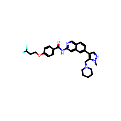 Cn1ncc(-c2ccc3cnc(NC(=O)c4ccc(OCCC(F)F)cc4)cc3c2)c1CN1CCCCC1